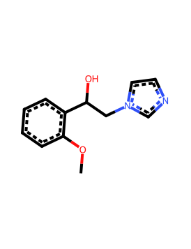 COc1ccccc1C(O)Cn1ccnc1